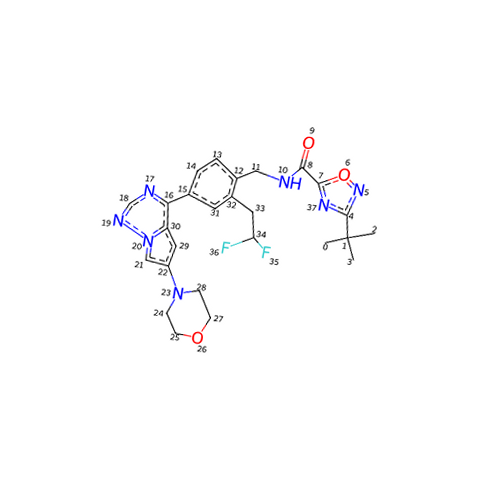 CC(C)(C)c1noc(C(=O)NCc2ccc(-c3ncnn4cc(N5CCOCC5)cc34)cc2CC(F)F)n1